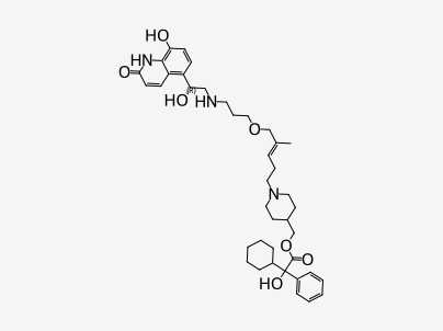 CC(=CCCN1CCC(COC(=O)C(O)(c2ccccc2)C2CCCCC2)CC1)COCCCNC[C@H](O)c1ccc(O)c2[nH]c(=O)ccc12